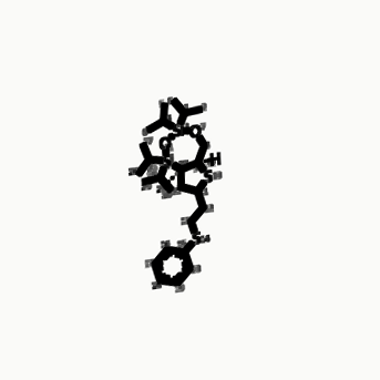 CC(C)[Si]1(C(C)C)OC[C@H]2SC(CCSc3ccccc3)C[C@@]2(C)[Si](C(C)C)(C(C)C)O1